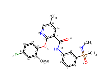 CN=S(C)(=O)c1cccc(NC(=O)c2cc(C(F)(F)F)cnc2Oc2ccc(F)cc2OC)c1